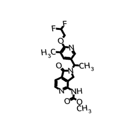 COC(=O)Nc1nccc2c1CN(C(C)c1cnc(OCC(F)F)c(C)c1)C2=O